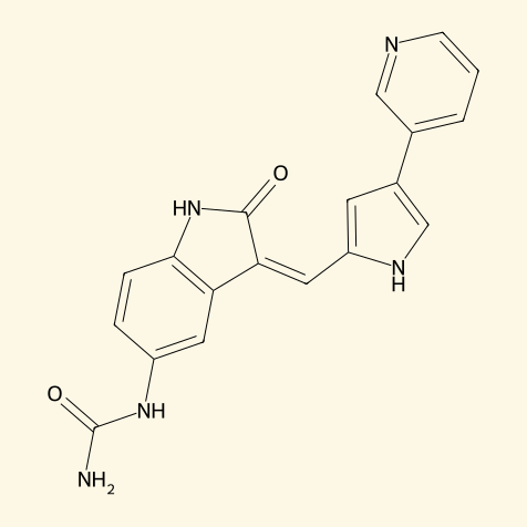 NC(=O)Nc1ccc2c(c1)C(=Cc1cc(-c3cccnc3)c[nH]1)C(=O)N2